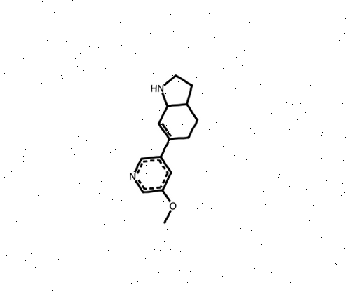 COc1cncc(C2=CC3NCCC3CC2)c1